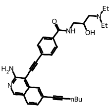 CCCCC#Cc1ccc2cnc(N)c(C#Cc3ccc(C(=O)NCC(O)CN(CC)CC)cc3)c2c1